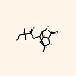 CCC(C)(C)C(=O)OC1C2OC(=O)C3CC1(C)CC32